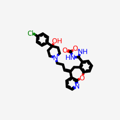 O=C1NC(c2cccc3c2CC(=CCCN2CCC(O)(c4ccc(Cl)cc4)CC2)c2cccnc2O3)NO1